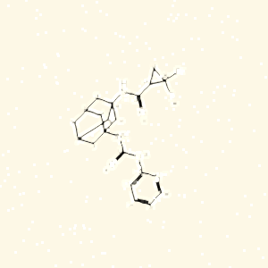 O=C(NC12CC3CC(C1)CC(NC(=O)C1CC1(F)F)(C3)C2)Oc1ccccn1